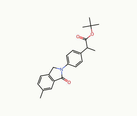 Cc1ccc2c(c1)C(=O)N(c1ccc(C(C)C(=O)OC(C)(C)C)cc1)C2